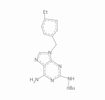 CCCCNc1nc(N)c2ncn(Cc3ccc(CC)cc3)c2n1